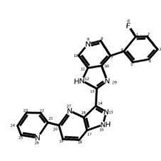 Fc1ccccc1-c1cncc2[nH]c(-c3n[nH]c4ccc(-c5ccccn5)nc34)nc12